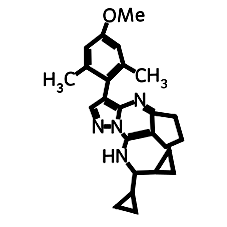 COc1cc(C)c(-c2cnn3c(NC(C4CC4)C4CC4)c4c(nc23)CCC4)c(C)c1